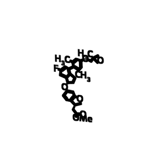 COC(=O)C[C@@H]1COc2cc(O[C@@H]3CCc4c(-c5c(C)cc(OCC6(C)COC6)cc5C)cc(F)cc43)ccc21